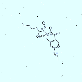 C/C=C/C1=CC2=C(CO1)C(=O)[C@]1(C)OC(=O)[C@H](C(O)CCCCC)[C@H]1C2